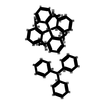 Fc1cccc(F)c1[B-](c1c(F)cccc1F)(c1c(F)cccc1F)c1c(F)cccc1F.c1ccc(P(c2ccccc2)c2ccccc2)cc1